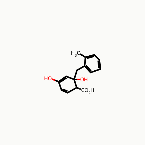 Cc1ccccc1CC1(O)C=C(O)C=CC1C(=O)O